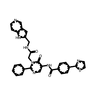 O=C(Cn1c(-c2ccccc2)ncc(NC(=O)c2ccc(-c3nccs3)cc2)c1=O)NCc1cc2cnccc2[nH]1